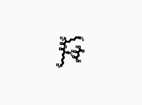 NCCCC[C@H](N)C(=O)OC(=O)[C@@H](N)CCCCN.O=C(O)CC(O)C(=O)O